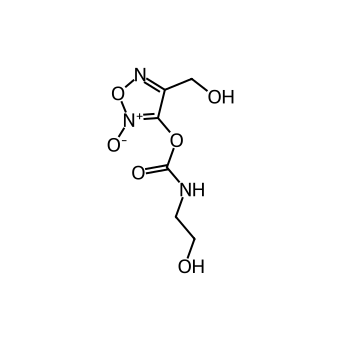 O=C(NCCO)Oc1c(CO)no[n+]1[O-]